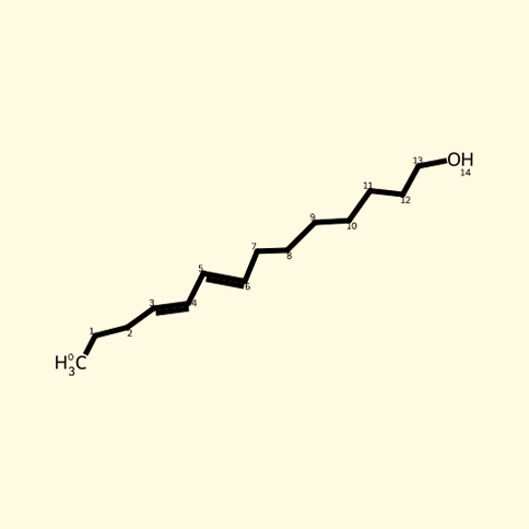 CCCC=CC=CCCCCCCCO